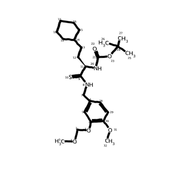 COCOc1cc(CNC(=S)[C@@H](CCC2CCCCC2)NC(=O)OC(C)(C)C)ccc1OC